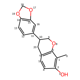 Cc1c(O)ccc2c1OCC(c1ccc3c(c1)OCO3)C2